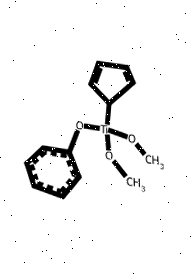 C[O][Ti]([O]C)([O]c1ccccc1)[CH]1C=CC=C1